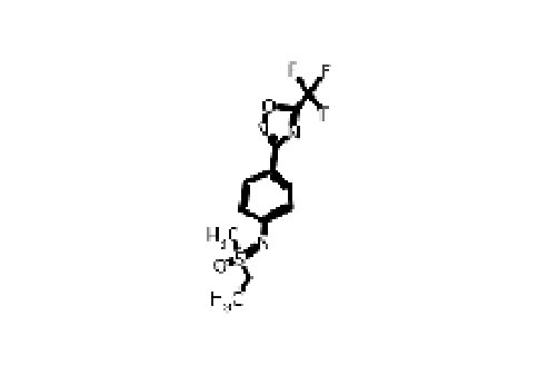 CCS(C)(=O)=Nc1ccc(-c2noc(C(F)(F)F)n2)cc1